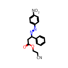 N#CCCOC(=O)CC(N=Nc1ccc([N+](=O)[O-])cc1)c1ccccc1